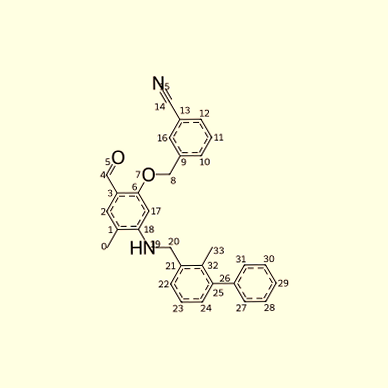 Cc1cc(C=O)c(OCc2cccc(C#N)c2)cc1NCc1cccc(-c2ccccc2)c1C